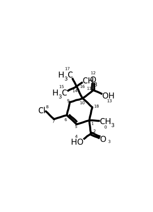 CC1(C(=O)O)C=C(CCl)CC(C(=O)O)(C(C)(C)C)C1